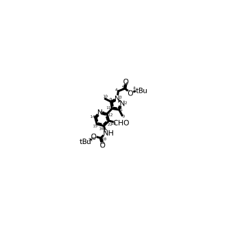 Cc1nn(CC(=O)OC(C)(C)C)c(C)c1-c1nccc(NC(=O)OC(C)(C)C)c1C=O